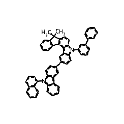 CC1(C)c2ccccc2-c2c1ccc1c2c2cc(-c3ccc4c(c3)c3ccccc3n4-c3cccc4ccccc34)ccc2n1-c1cccc(-c2ccccc2)c1